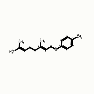 CC(C)=CCC/C(C)=C/CSc1ccc(C)cc1